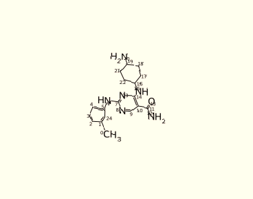 Cc1cccc(Nc2ncc(C(N)=O)c(NC3CCC(N)CC3)n2)c1